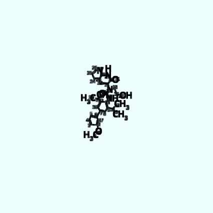 COc1cccc(-c2cc(C(C)C)c(NC(=O)N(CCO)c3cc4cccnc4[nH]c3=O)c(C(C)C)c2)c1